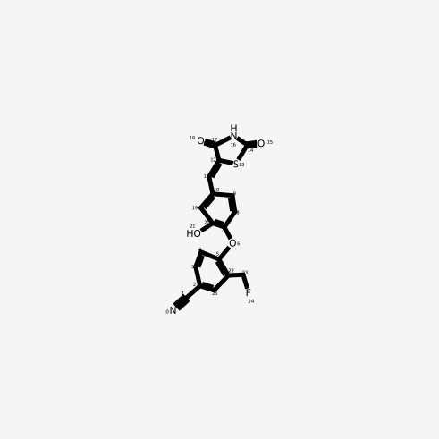 N#Cc1ccc(Oc2ccc(/C=C3\SC(=O)NC3=O)cc2O)c(CF)c1